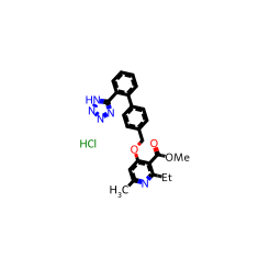 CCc1nc(C)cc(OCc2ccc(-c3ccccc3-c3nnn[nH]3)cc2)c1C(=O)OC.Cl